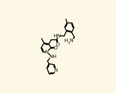 Cc1ccc(CN)c(CNC(=O)Cc2c(C)ccn(NCc3cccnc3)c2=O)c1